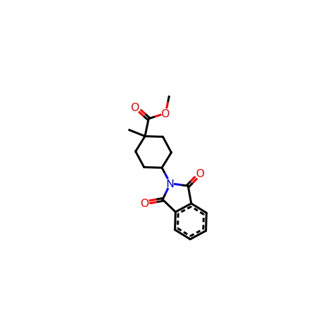 COC(=O)C1(C)CCC(N2C(=O)c3ccccc3C2=O)CC1